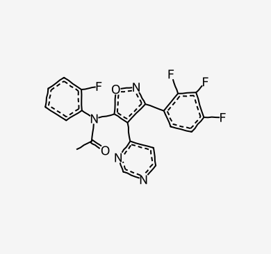 CC(=O)N(c1ccccc1F)c1onc(-c2ccc(F)c(F)c2F)c1-c1ccncn1